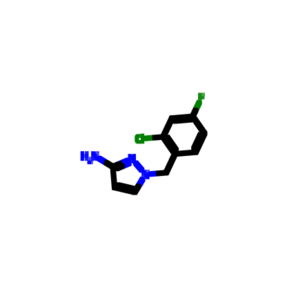 Nc1ccn(Cc2ccc(F)cc2Cl)n1